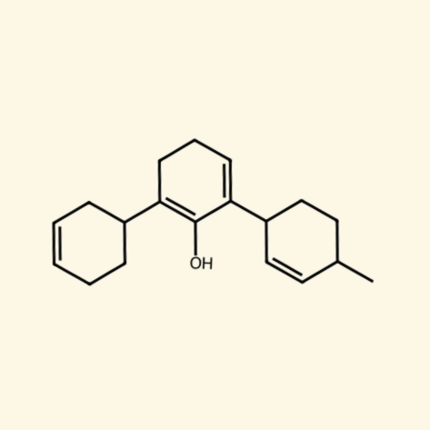 CC1C=CC(C2=CCCC(C3CC=CCC3)=C2O)CC1